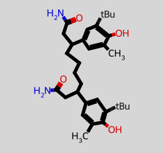 Cc1cc(C(CCCCC(CC(N)=O)c2cc(C)c(O)c(C(C)(C)C)c2)CC(N)=O)cc(C(C)(C)C)c1O